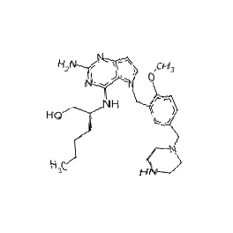 CCCC[C@@H](CO)Nc1nc(N)nc2ccn(Cc3cc(CN4CCNCC4)ccc3OC)c12